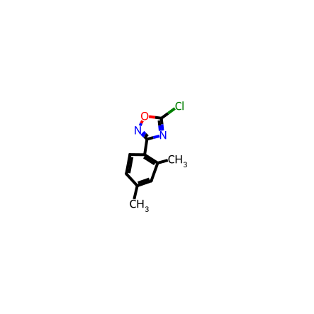 Cc1ccc(-c2noc(Cl)n2)c(C)c1